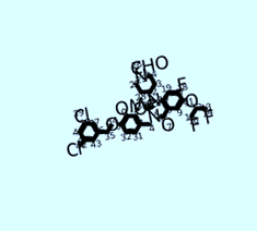 COc1cc(Cn2c(=O)c3cc(OC(CF)CF)c(F)cc3n(C3CCN(C=O)CC3)c2=O)ccc1OCc1cc(Cl)cc(Cl)c1